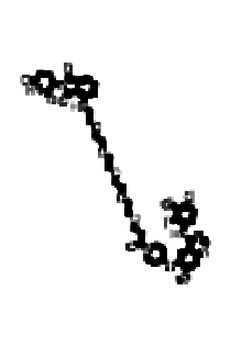 COc1cc2ncnc(Nc3ccc(Cl)c(Cl)c3F)c2cc1OC1CCN(C(=O)CCOCCOCCOCCOCCOCCNc2cccc3c2C(=O)N(C2CCC(=O)NC2=O)C3=O)CC1